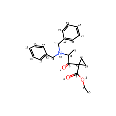 CCOC(=O)C1(C(=O)C(C)N(Cc2ccccc2)Cc2ccccc2)CC1